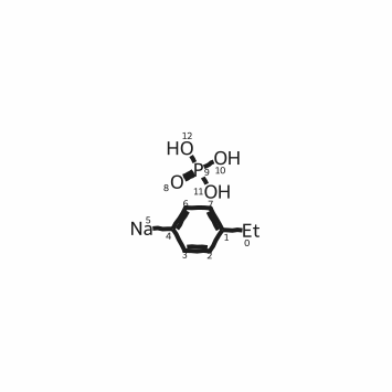 CCc1cc[c]([Na])cc1.O=P(O)(O)O